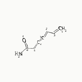 C=CC=C=C=CC(N)=O